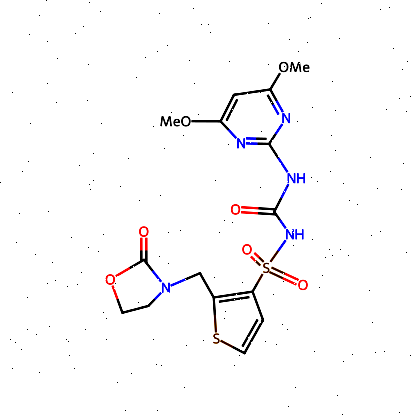 COc1cc(OC)nc(NC(=O)NS(=O)(=O)c2ccsc2CN2CCOC2=O)n1